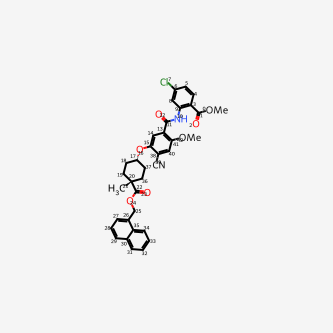 COC(=O)c1ccc(Cl)cc1NC(=O)c1cc(O[C@H]2CC[C@@](C)(C(=O)OCc3cccc4ccccc34)CC2)c(C#N)cc1OC